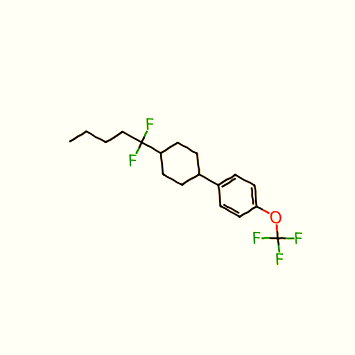 CCCCC(F)(F)C1CCC(c2ccc(OC(F)(F)F)cc2)CC1